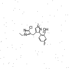 CCn1cc(Cc2cn(C)nc2-c2ccc(F)cc2[C@@H](C)O)c(Cl)n1